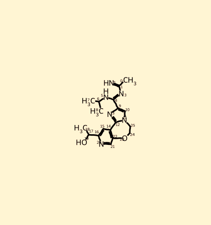 CC(=N)/N=C(\NC(C)C)c1cn2c(n1)-c1cc(C(C)O)ncc1OCC2